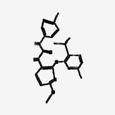 COc1ccc(NC(=O)Nc2ccc(C)cc2)c(Oc2cc(C)ccc2C(C)C)n1